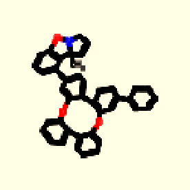 CC12C=CCN1Oc1cccc(-c3ccc4c(c3)Oc3ccccc3-c3ccccc3Oc3cc(-c5ccccc5)ccc3-4)c12